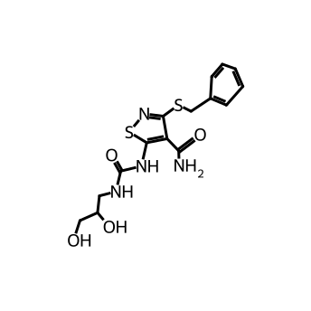 NC(=O)c1c(SCc2ccccc2)nsc1NC(=O)NCC(O)CO